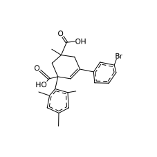 Cc1cc(C)c(C2(C(=O)O)C=C(c3cccc(Br)c3)CC(C)(C(=O)O)C2)c(C)c1